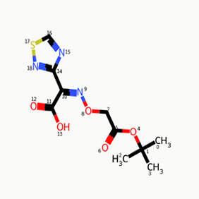 CC(C)(C)OC(=O)CON=C(C(=O)O)c1ncsn1